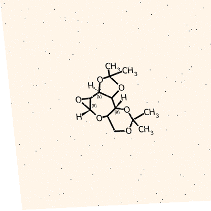 CC1(C)OCC2O[C@@H]3OC3[C@H]3OC(C)(C)OC3[C@@H]2O1